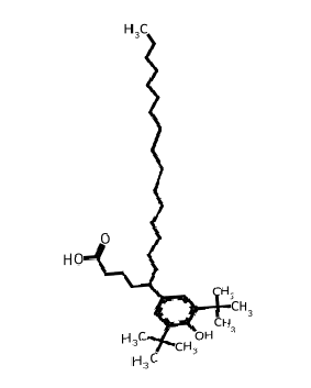 CCCCCCCCCCCCCCCCC(CCCC(=O)O)c1cc(C(C)(C)C)c(O)c(C(C)(C)C)c1